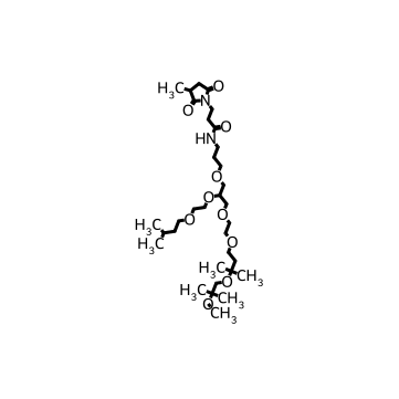 COC(C)(C)COC(C)(C)CCOCCOCC(COCCCNC(=O)CCN1C(=O)CC(C)C1=O)OCCOCCC(C)C